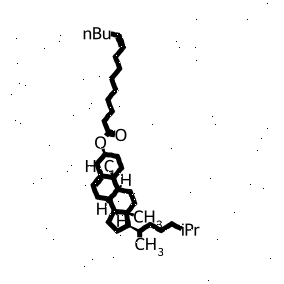 CCCC/C=C\CCCCCCCC(=O)O[C@H]1CC[C@@]2(C)C(=CC[C@H]3[C@@H]4CC[C@H](C(C)CCCC(C)C)[C@@]4(C)CC[C@@H]32)C1